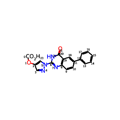 O=C(O)Oc1cnn(-c2nc3ccc(-c4ccccc4)cc3c(=O)[nH]2)c1